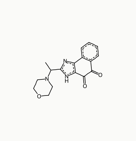 CC(c1nc2c([nH]1)C(=O)C(=O)c1ccccc1-2)N1CCOCC1